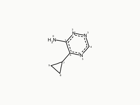 Nc1nncnc1C1CC1